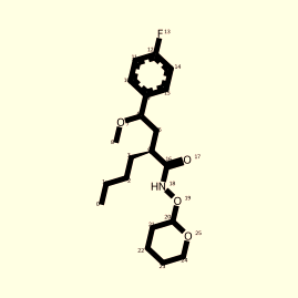 CCCC[C@@H](CC(OC)c1ccc(F)cc1)C(=O)NOC1CCCCO1